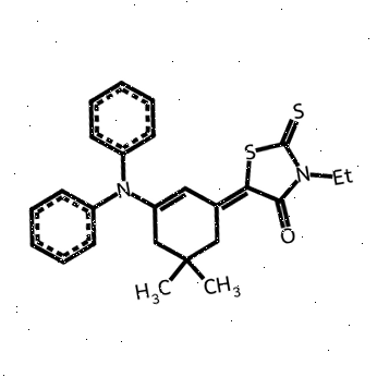 CCN1C(=O)/C(=C2/C=C(N(c3ccccc3)c3ccccc3)CC(C)(C)C2)SC1=S